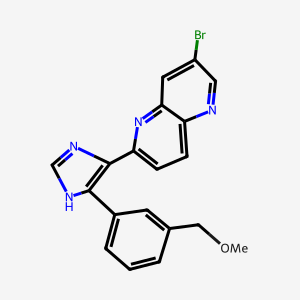 COCc1cccc(-c2[nH]cnc2-c2ccc3ncc(Br)cc3n2)c1